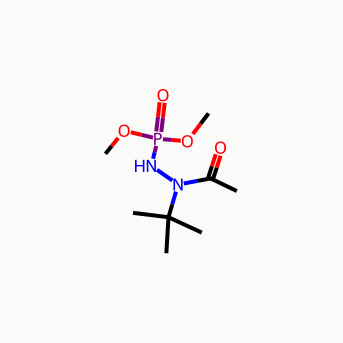 COP(=O)(NN(C(C)=O)C(C)(C)C)OC